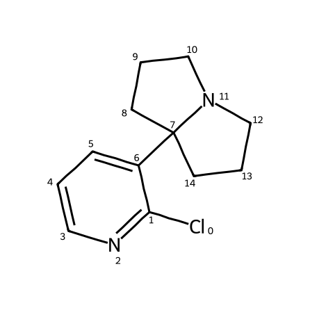 Clc1ncccc1C12CCCN1CCC2